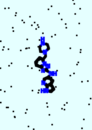 c1cc(CN2CCNCC2)n2nc(Nc3cnc4[nH]ccc4c3)nc2c1